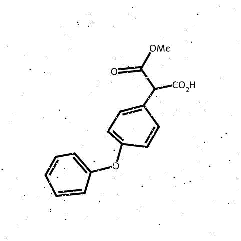 COC(=O)C(C(=O)O)c1ccc(Oc2ccccc2)cc1